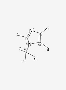 Cc1nc(C)n(C(C)(C)C)c1C